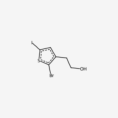 OCCc1cc(I)sc1Br